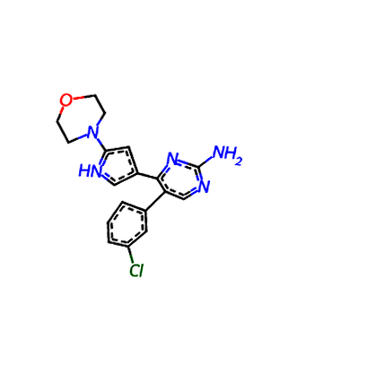 Nc1ncc(-c2cccc(Cl)c2)c(-c2c[nH]c(N3CCOCC3)c2)n1